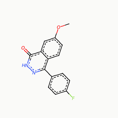 COc1ccc2c(-c3ccc(F)cc3)n[nH]c(=O)c2c1